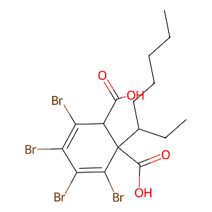 CCCCCC(CC)C1(C(=O)O)C(Br)=C(Br)C(Br)=C(Br)C1C(=O)O